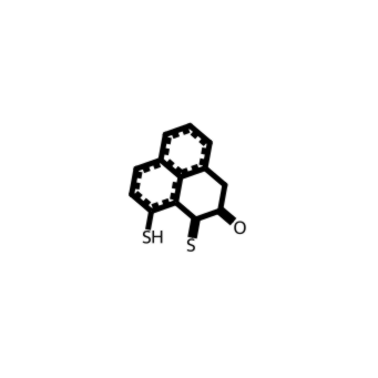 O=C1Cc2cccc3ccc(S)c(c23)C1=S